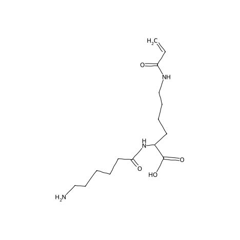 C=CC(=O)NCCCCC(NC(=O)CCCCCN)C(=O)O